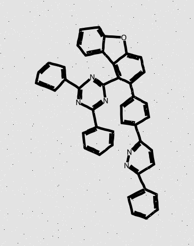 c1ccc(-c2ccc(-c3ccc(-c4ccc5oc6ccccc6c5c4-c4nc(-c5ccccc5)nc(-c5ccccc5)n4)cc3)nn2)cc1